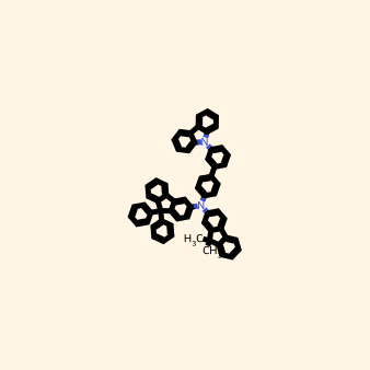 CC1(C)c2ccccc2-c2ccc(N(c3ccc(-c4cccc(-n5c6ccccc6c6ccccc65)c4)cc3)c3ccc4c(c3)-c3ccccc3C4(c3ccccc3)c3ccccc3)cc21